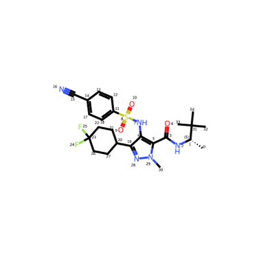 C[C@H](NC(=O)c1c(NS(=O)(=O)c2ccc(C#N)cc2)c(C2CCC(F)(F)CC2)nn1C)C(C)(C)C